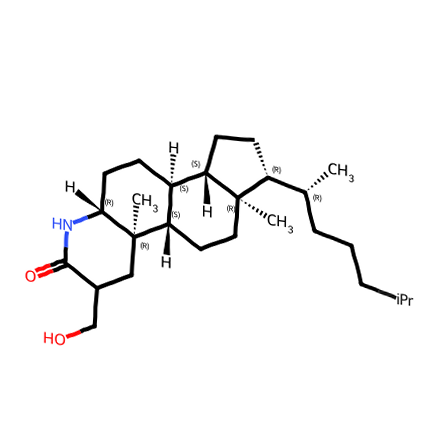 CC(C)CCC[C@@H](C)[C@H]1CC[C@H]2[C@@H]3CC[C@H]4NC(=O)C(CO)C[C@]4(C)[C@H]3CC[C@]12C